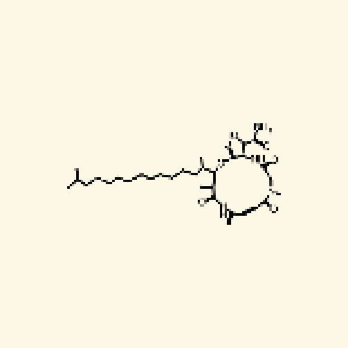 C=C1/C=C\C(=O)N(C)CC(=O)NC(C(O)C(N)=O)C(=O)OC(C(C)CCCCCCCCCCCC(C)C)C(C)C(=O)N1